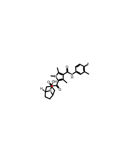 Cc1cc(NC(=O)c2c(C)c(C(=O)C(=O)N3C4CC[C@@H]3C[C@@H](O)C4)n(C)c2C)ccc1F